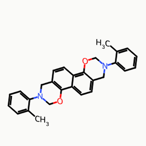 Cc1ccccc1N1COc2c(ccc3c4c(ccc23)CN(c2ccccc2C)CO4)C1